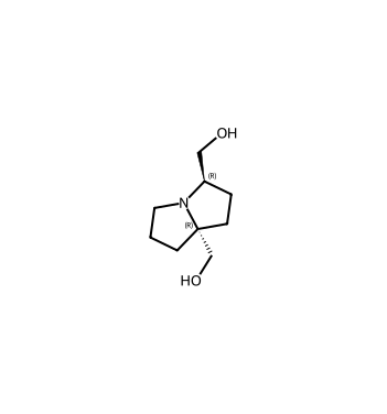 OC[C@H]1CC[C@@]2(CO)CCCN12